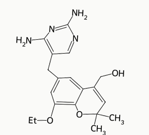 CCOc1cc(Cc2cnc(N)nc2N)cc2c1OC(C)(C)C=C2CO